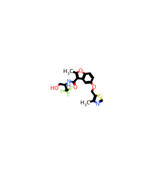 Cc1ncsc1COc1ccc2oc(C)c(C(=O)NC(CO)C(F)(F)F)c2c1